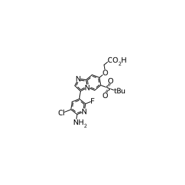 CC(C)(C)S(=O)(=O)c1cn2c(-c3cc(Cl)c(N)nc3F)cnc2cc1OCC(=O)O